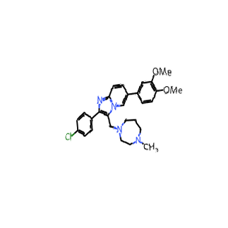 COc1ccc(-c2ccc3nc(-c4ccc(Cl)cc4)c(CN4CCCN(C)CC4)n3c2)cc1OC